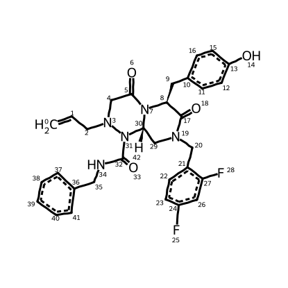 C=CCN1CC(=O)N2[C@@H](Cc3ccc(O)cc3)C(=O)N(Cc3ccc(F)cc3F)C[C@@H]2N1C(=O)NCc1ccccc1